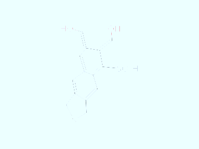 O=S(=O)(O)c1c(=CO)c(=CO)cc2cc3c(cc12)CSC3